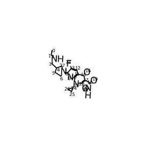 CCNCC1CCN(c2nc3c(cc2F)c(=O)c2c(=O)[nH]oc2n3C2CC2)C1